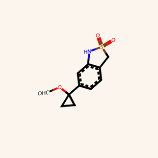 O=COC1(c2ccc3c(c2)NS(=O)(=O)C3)CC1